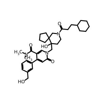 CN(C)C(=O)c1cn(CC2(O)CCN(C(=O)CCC3CCCCC3)CC23CCCC3)c(=O)cc1-c1cccc(CO)c1